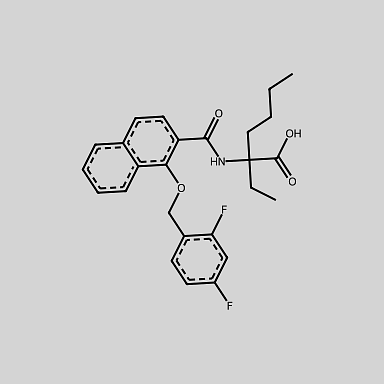 CCCCC(CC)(NC(=O)c1ccc2ccccc2c1OCc1ccc(F)cc1F)C(=O)O